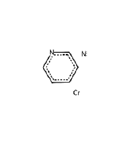 [Cr].[N].c1ccncc1